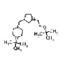 CC(C)(C)OCCN1CCC(CN2CCN(C(C)(C)C)CC2)C1